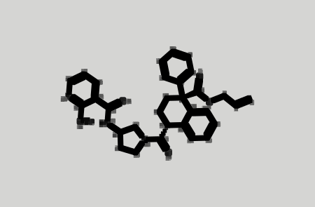 C=CCOC(=O)[C@]1(c2ccccc2)CC[C@@H](C(=O)N2CCC(NC(=O)c3cccnc3OC)C2)c2ccccc21